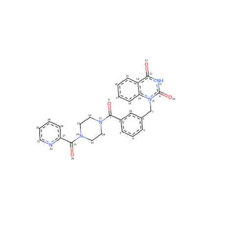 O=C(c1cccc(Cn2c(=O)[nH]c(=O)c3ccccc32)c1)N1CCN(C(=O)c2ccccn2)CC1